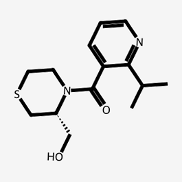 CC(C)c1ncccc1C(=O)N1CCSC[C@H]1CO